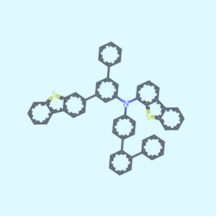 c1ccc(-c2cc(-c3ccc4c(c3)sc3ccccc34)cc(N(c3ccc(-c4ccccc4-c4ccccc4)cc3)c3cccc4c3sc3ccccc34)c2)cc1